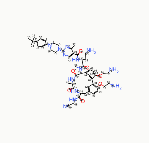 Cc1nc(N2CCN(c3ccc(C(C)(C)C)cc3)CC2)nc(C)c1C(=O)NC(CCN)C(=O)N(C)C1C(=O)NC(C)C(=O)NC(C(=O)NCC#N)Cc2ccc(OCCN)c(c2)-c2cc1ccc2OCCN